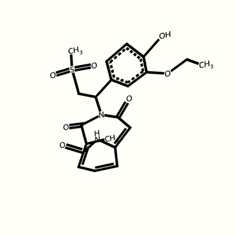 CCOc1cc(C(CS(C)(=O)=O)N2C(=O)/C=C(NC=O)/C=C\C=C(/C)C2=O)ccc1O